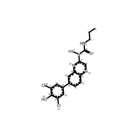 CCCNC(=O)N(S)c1cnc2ccc(-c3cc(Cl)c(O)c(Cl)c3)cc2n1